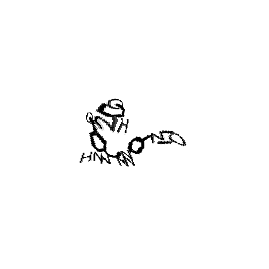 O=C(NC1CCOCC1)c1ccc2[nH]nc(-c3cn(-c4ccc(CN5CCOCC5)cc4)nn3)c2c1